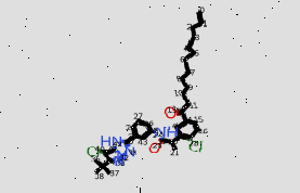 CCCCCCCCCCCCC(=O)c1ccc(Cl)c(C(C)C(=O)Nc2cccc(-c3nn4nc(C(C)(C)C)c(Cl)c4[nH]3)c2)c1